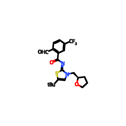 CC(C)(C)c1cn(C[C@H]2CCCO2)/c(=N/C(=O)c2cc(C(F)(F)F)ccc2C=O)s1